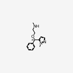 CNCCO[C@H](c1ccccc1)c1ccnn1C